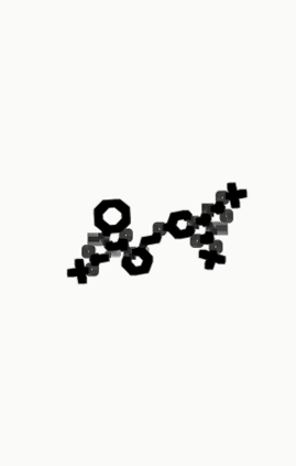 CC(C)(C)OC(=O)C[C@H](NC1CCCCCCC1)C(=O)N1CCCC[C@@H]1CCOC1CCN(C(=NC(=O)OC(C)(C)C)NC(=O)OC(C)(C)C)CC1